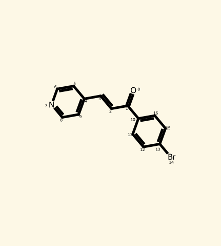 O=C(C=Cc1ccncc1)c1ccc(Br)cc1